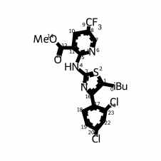 CCC(C)c1sc(Nc2ncc(C(F)(F)F)cc2C(=O)OC)nc1-c1ccc(Cl)cc1Cl